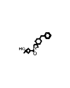 CC1(O)CC(C(=O)N2CC3(CCC(Cc4ccccc4)CC3)C2)C1